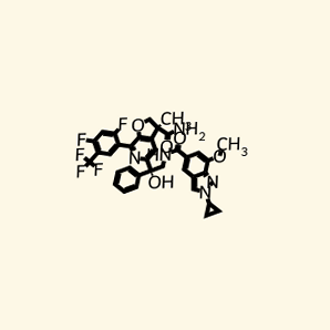 COc1cc(C(=O)NC[C@@](O)(c2ccccc2)c2cc3c(c(-c4cc(C(F)(F)F)c(F)cc4F)n2)OC[C@]3(C)C(N)=O)cc2cn(C3CC3)nc12